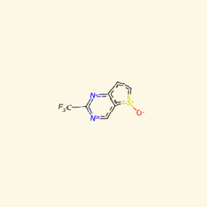 [O-][s+]1ccc2nc(C(F)(F)F)ncc21